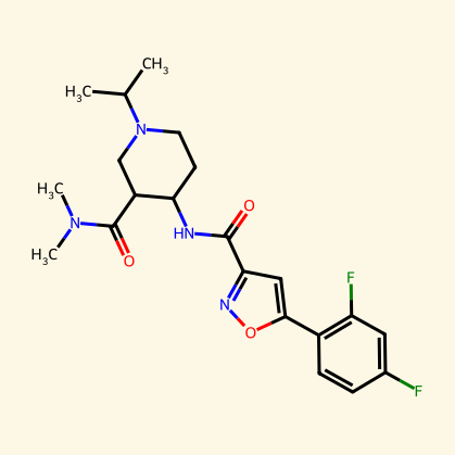 CC(C)N1CCC(NC(=O)c2cc(-c3ccc(F)cc3F)on2)C(C(=O)N(C)C)C1